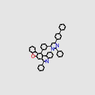 c1ccc(-c2ccc(-c3cc(-c4cccc(-c5c6c(cc7c(-c8ccccc8)nc8ccccc8c57)oc5ccccc56)c4)nc(-c4ccccc4)n3)cc2)cc1